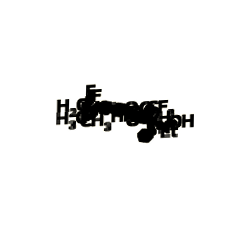 C=C(CCC(F)F)C1=C(CN2CCN(c3ccc(C(=O)NS(=O)(=O)c4ccc(N[C@H](CCN(CC)CCO)CSc5ccccc5)c(S(=O)(=O)C(F)(F)F)c4)cc3)CC2)CCC(C)(C)C1